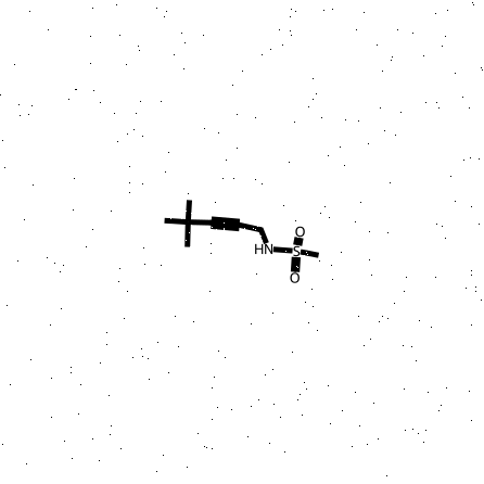 CC(C)(C)C#CCNS(C)(=O)=O